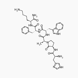 C[C@@H](C(=O)N[C@@H](Cc1c[nH]c2ccccc12)C(=O)N[C@H](Cc1ccccc1)C(=O)N[C@@H](CCCCN)C(N)=O)N1CC[C@@H](NC(=O)[C@@H](N)Cc2c[nH]cn2)C1=O